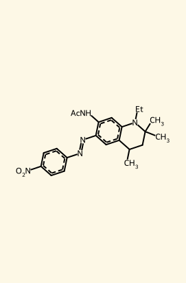 CCN1c2cc(NC(C)=O)c(N=Nc3ccc([N+](=O)[O-])cc3)cc2C(C)CC1(C)C